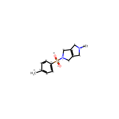 CCN1CC2=C(C1)CN(S(=O)(=O)c1ccc(C)cc1)C2